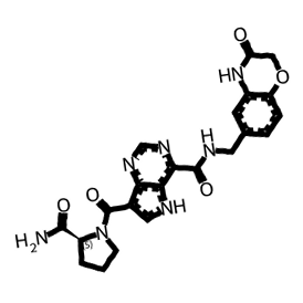 NC(=O)[C@@H]1CCCN1C(=O)c1c[nH]c2c(C(=O)NCc3ccc4c(c3)NC(=O)CO4)ncnc12